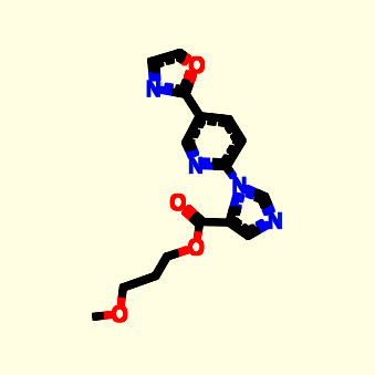 COCCCOC(=O)c1cncn1-c1ccc(-c2ncco2)cn1